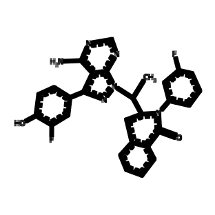 CC(c1cc2ccccc2c(=O)n1-c1cccc(F)c1)n1nc(-c2ccc(O)c(F)c2)c2c(N)ncnc21